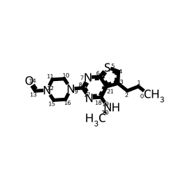 CCCc1csc2nc(N3CCN(C=O)CC3)nc(NC)c12